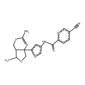 CC1OCC2(c3cc(NC(=O)c4ccc(C#N)cn4)cs3)N=C(N)SCC12